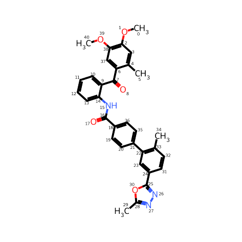 COc1cc(C)c(C(=O)c2ccccc2NC(=O)c2ccc(-c3cc(-c4nnc(C)o4)ccc3C)cc2)cc1OC